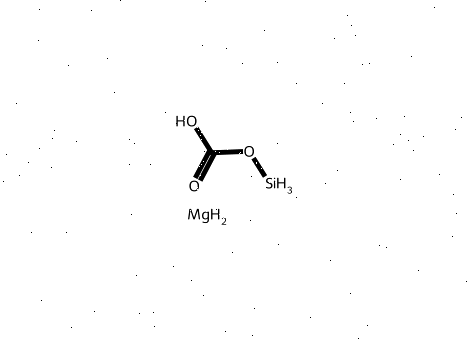 O=C(O)O[SiH3].[MgH2]